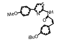 COc1ccc(-c2csc(NC(=O)/C=C\c3ccc(OCC(C)C)cc3)n2)cc1